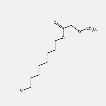 CCOC(=O)OCC(=O)OCCCCCCCCCl